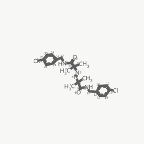 CC(C)(/N=N/C(C)(C)C(=O)NCc1ccc(Cl)cc1)C(=O)NCc1ccc(Cl)cc1